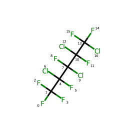 FC(F)(F)C(F)(Cl)C(F)(Cl)C(F)(Cl)C(F)(F)Cl